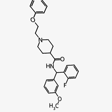 COc1cccc(C(NC(=O)C2CCN(CCOc3ccccc3)CC2)c2ccccc2F)c1